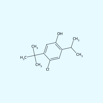 CC(C)c1cc(Cl)c(C(C)(C)C)cc1O